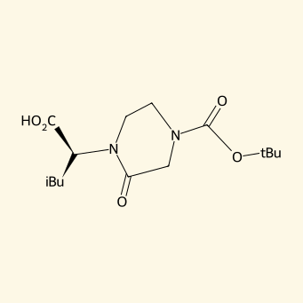 CC[C@H](C)[C@@H](C(=O)O)N1CCN(C(=O)OC(C)(C)C)CC1=O